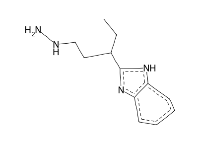 CCC(CCNN)c1nc2ccccc2[nH]1